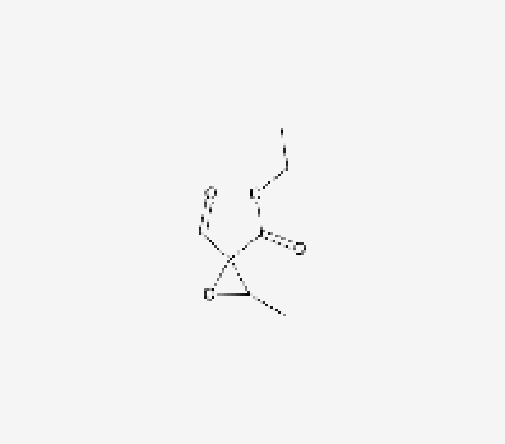 CCOC(=O)C1(C=O)OC1C